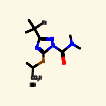 CCC(C)(C)c1nc(SC(C)C(=O)O)n(C(=O)N(C)C)n1.[KH]